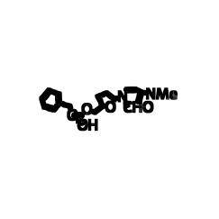 C=C(/C=C\N(C=O)C1CCC(COP(O)OCc2ccccc2)O1)NC